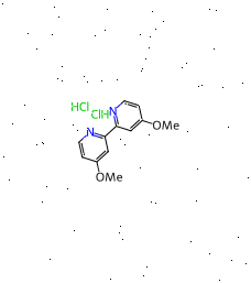 COc1ccnc(-c2cc(OC)ccn2)c1.Cl.Cl